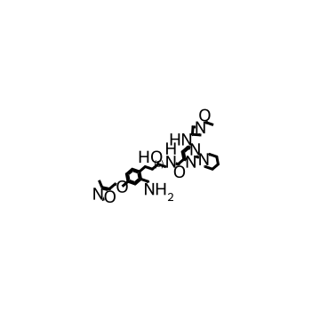 CC(=O)N1CC(Nc2cc(C(=O)NC[C@@H](O)CCc3ccc(OCc4ocnc4C)cc3CN)nc(N3CCCCC3)n2)C1